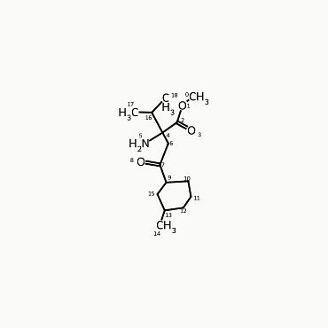 COC(=O)C(N)(CC(=O)C1CCCC(C)C1)C(C)C